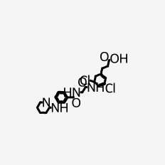 O=C(O)CCC1=CC(Cl)=CC(Cl)(NC(=O)CNC(=O)c2cccc(NC3=NCCCC3)c2)C1